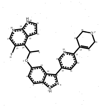 CC(Oc1ccc2[nH]nc(-c3ccc(C4=CCOCC4)nc3)c2c1)c1c(F)cnc2[nH]ccc12